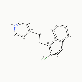 Clc1ccc2ccccc2c1CCc1ccncc1